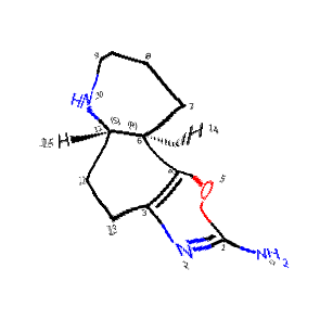 Nc1nc2c(o1)[C@@H]1CCCN[C@H]1CC2